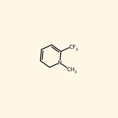 CN1CC=CC=C1C(F)(F)F